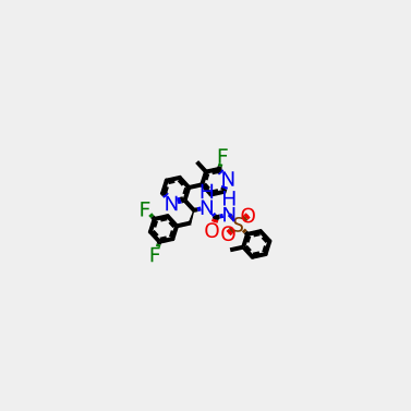 Cc1ccccc1S(=O)(=O)NC(=O)N[C@@H](Cc1cc(F)cc(F)c1)c1ncccc1-c1ccnc(F)c1C